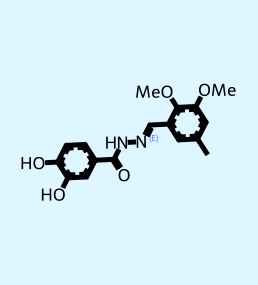 COc1cc(C)cc(/C=N/NC(=O)c2ccc(O)c(O)c2)c1OC